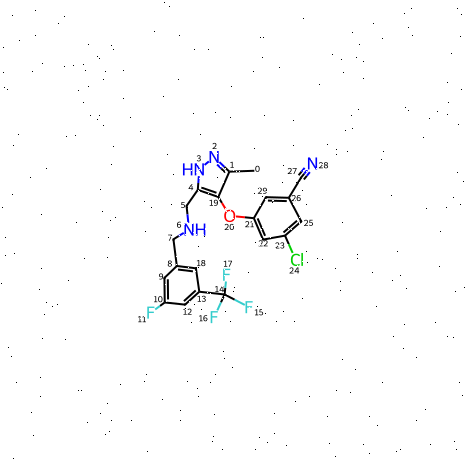 Cc1n[nH]c(CNCc2cc(F)cc(C(F)(F)F)c2)c1Oc1cc(Cl)cc(C#N)c1